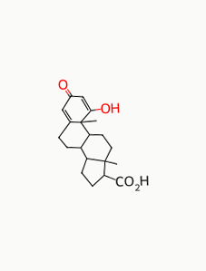 CC12C(O)=CC(=O)C=C1CCC1C2CCC2(C)C(C(=O)O)CCC12